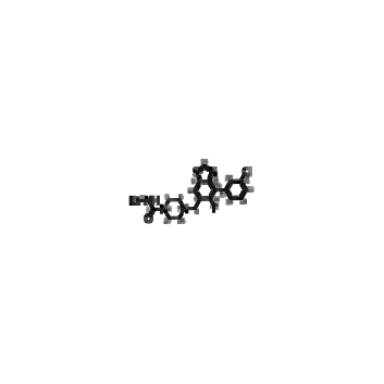 CCNC(=O)N1CCN(Cc2cc3scnc3c(-c3cccc(Cl)c3)c2F)CC1